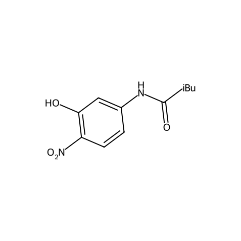 CCC(C)C(=O)Nc1ccc([N+](=O)[O-])c(O)c1